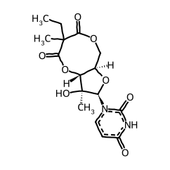 CCC1(C)C(=O)OC[C@H]2O[C@@H](n3ccc(=O)[nH]c3=O)[C@@](C)(O)[C@@H]2OC1=O